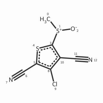 C[S+]([O-])c1sc(C#N)c(Cl)c1C#N